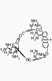 NC(N)=CC1=C[C@H]2c3ccc4cc3C1c1ccc(cc12)OCc1ccc(c(N=C(N)N)c1)COc1ccc2c(c1)C1C(N=C(N)N)=C(N=C(N)N)[C@@H]2c2cc(ccc21)OCc1ccc(c(N=C(N)N)c1)CO4